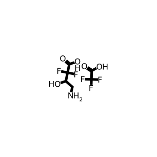 NCC(O)C(F)(F)C(=O)O.O=C(O)C(F)(F)F